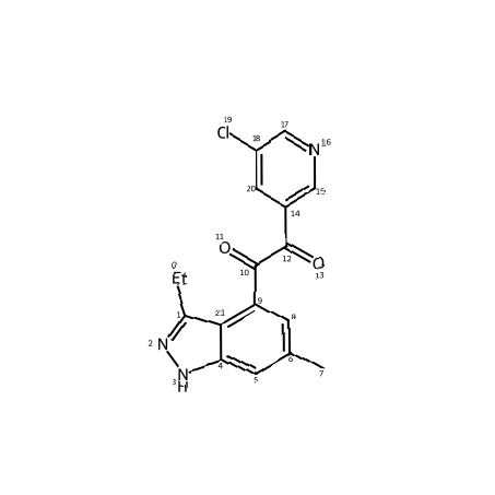 CCc1n[nH]c2cc(C)cc(C(=O)C(=O)c3cncc(Cl)c3)c12